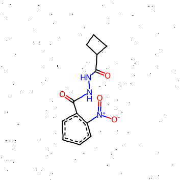 O=C(NNC(=O)C1CCC1)c1ccccc1[N+](=O)[O-]